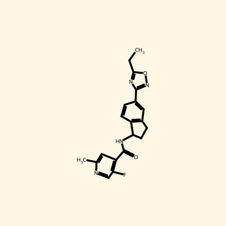 CCc1nc(-c2ccc3c(c2)CCC3NC(=O)c2cc(C)ncc2F)no1